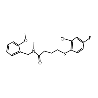 COc1ccccc1CN(C)C(=O)CCCSc1ccc(F)cc1Cl